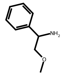 COCC(N)c1ccccc1